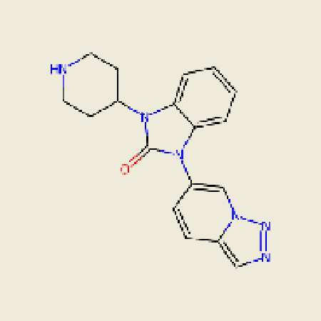 O=c1n(-c2ccc3cnnn3c2)c2ccccc2n1C1CCNCC1